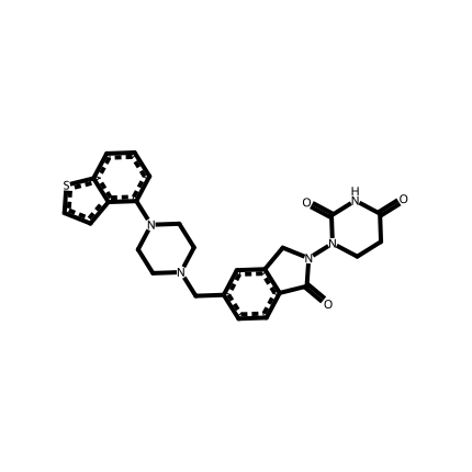 O=C1CCN(N2Cc3cc(CN4CCN(c5cccc6sccc56)CC4)ccc3C2=O)C(=O)N1